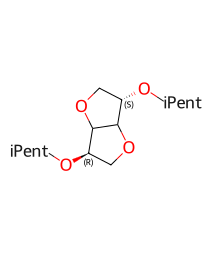 CCCC(C)O[C@H]1COC2C1OC[C@H]2OC(C)CCC